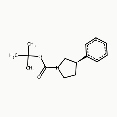 CC(C)(C)OC(=O)N1CC[C@H](c2ccccc2)C1